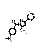 CN(C)c1ccc(C(=O)n2nc(-c3cccnc3)cc2N)cc1